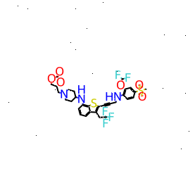 CS(=O)(=O)c1ccc(NCC#Cc2sc3c(NC4CCN(CC5COC(=O)O5)CC4)cccc3c2CC(F)(F)F)c(OC(F)F)c1